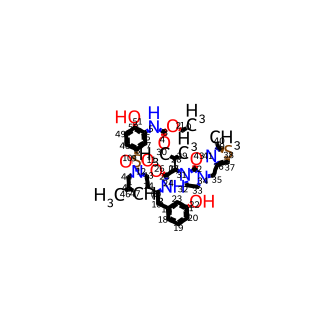 CCOC(=O)Nc1cc(S(=O)(=O)N(CC[C@H](Cc2cccc(O)c2)NC(=O)[C@@H](C(C)C)N2CCN(Cc3csc(C)n3)C2=O)CC(C)C)ccc1O